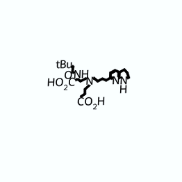 CC(C)(C)CC(=O)NC(CCN(CCCCC(=O)O)CCCCc1ccc2c(n1)NCCC2)C(=O)O